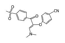 CN(C)/C=C(\Oc1ccc(C#N)cc1)C(=O)c1ccc(S(C)(=O)=O)cc1